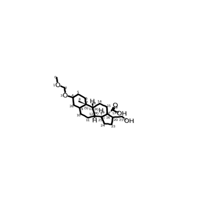 COCOC1CC[C@@]2(C)C(CC[C@@H]3[C@H]2CC[C@@]2(C(=O)O)C(CO)CC[C@@H]32)C1